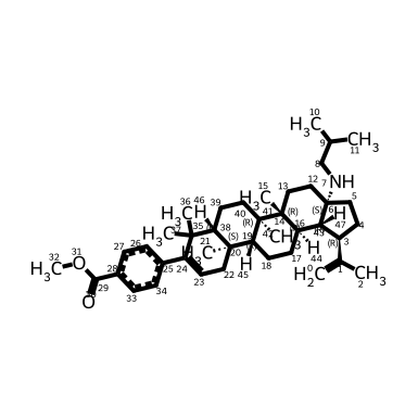 C=C(C)[C@@H]1CC[C@]2(NCC(C)C)CC[C@]3(C)[C@H](CC[C@@H]4[C@@]5(C)CC=C(c6ccc(C(=O)OC)cc6)C(C)(C)[C@@H]5CC[C@]43C)[C@@H]12